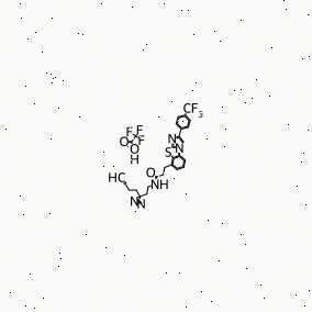 C#CCCC1(CCNC(=O)CCc2cccc3c2sc2nc(-c4ccc(C(F)(F)F)cc4)cn23)N=N1.O=C(O)C(F)(F)F